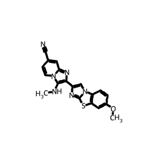 CNc1c(-c2cn3c(n2)sc2cc(OC)ccc23)nc2cc(C#N)ccn12